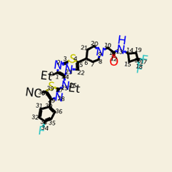 CCc1nc2sc(C3CCN(CC(=O)NC4CC(F)(F)C4)CC3)cn2c1N(CC)c1nc(-c2ccc(F)cc2)c(C#N)s1